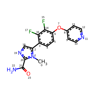 Cn1c(-c2ccc(Oc3ccncc3)c(F)c2F)cnc1C(N)=O